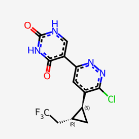 O=c1[nH]cc(-c2cc([C@H]3C[C@@H]3CC(F)(F)F)c(Cl)nn2)c(=O)[nH]1